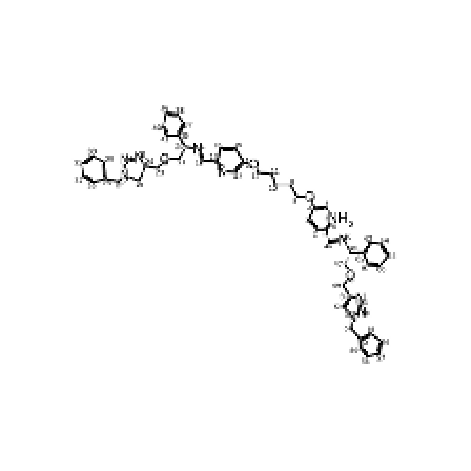 C=C(/C=C\C(=C/N)OCCCCCOc1ccc(/C=N/[C@@H](COCC2CN(Cc3ccccc3)N=N2)c2ccccc2)nc1)/C=N/[C@@H](COCc1cn(Cc2ccccc2)nn1)c1ccccc1